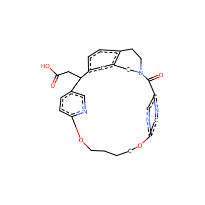 O=C(O)CC1c2ccc(nc2)OCCCCOc2cnc(cn2)C(=O)N2CCc3ccc1cc3C2